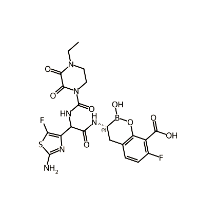 CCN1CCN(C(=O)NC(C(=O)N[C@H]2Cc3ccc(F)c(C(=O)O)c3OB2O)c2nc(N)sc2F)C(=O)C1=O